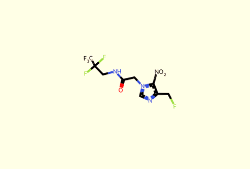 O=C(Cn1cnc(CF)c1[N+](=O)[O-])NCC(F)(F)C(F)(F)F